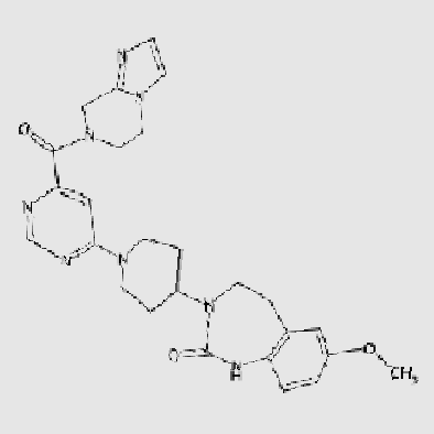 COc1ccc2c(c1)CCN(C1CCN(c3cc(C(=O)N4CCn5ccnc5C4)ncn3)CC1)C(=O)N2